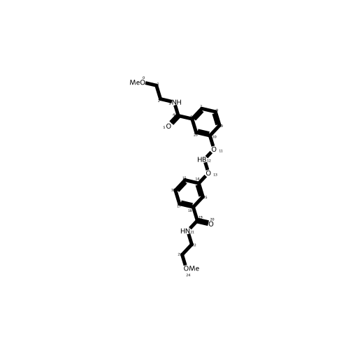 COCCNC(=O)c1cccc(OBOc2cccc(C(=O)NCCOC)c2)c1